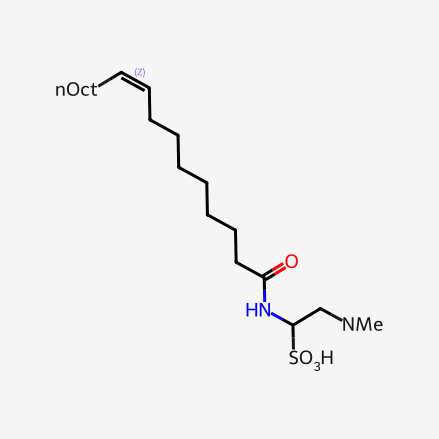 CCCCCCCC/C=C\CCCCCCCC(=O)NC(CNC)S(=O)(=O)O